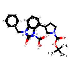 CC(C)(C)OC(=O)N1CCC(c2cccc3c2n(C(=O)O)c(=O)n3Cc2ccccc2)C1